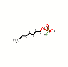 CCCCCCCOS(=O)(=O)F